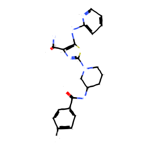 CC(C)(C)c1ccc(C(=O)NC2CCCN(c3nc(C(N)=O)c(Nc4ccccn4)s3)C2)cc1